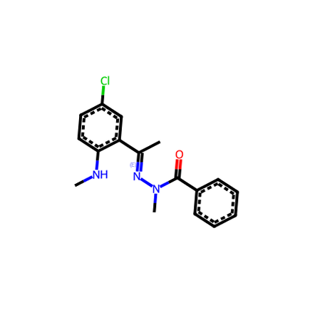 CNc1ccc(Cl)cc1/C(C)=N/N(C)C(=O)c1ccccc1